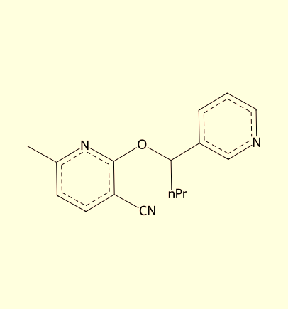 CCCC(Oc1nc(C)ccc1C#N)c1cccnc1